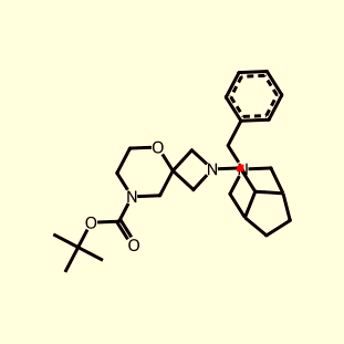 CC(C)(C)OC(=O)N1CCOC2(CN(CC3C4CCC3CN(Cc3ccccc3)C4)C2)C1